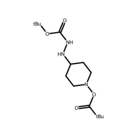 CC(C)(C)OC(=O)NNC1CCN(OC(=O)C(C)(C)C)CC1